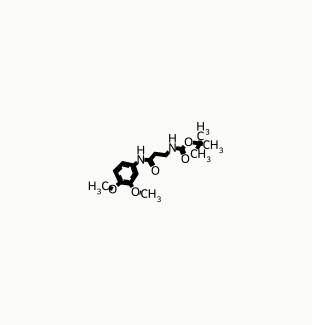 COc1ccc(NC(=O)CCNC(=O)OC(C)(C)C)cc1OC